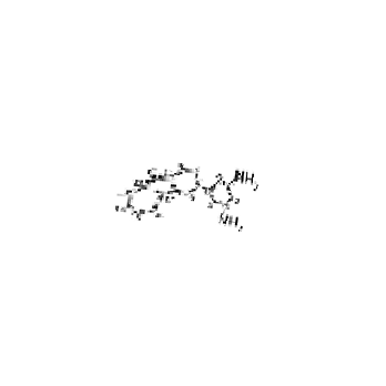 Nc1cc(N)cc(-c2ccc3sc4ccccc4c3c2)c1